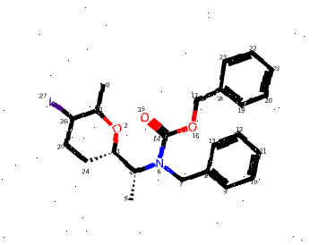 CC1O[C@H]([C@@H](C)N(Cc2ccccc2)C(=O)OCc2ccccc2)CCC1I